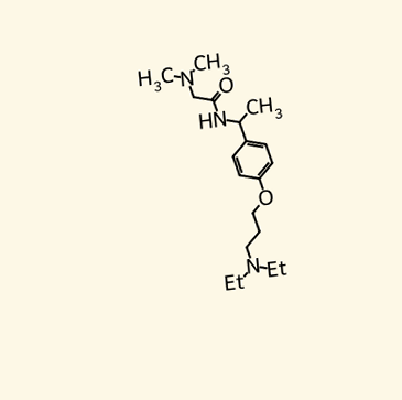 CCN(CC)CCCOc1ccc(C(C)NC(=O)CN(C)C)cc1